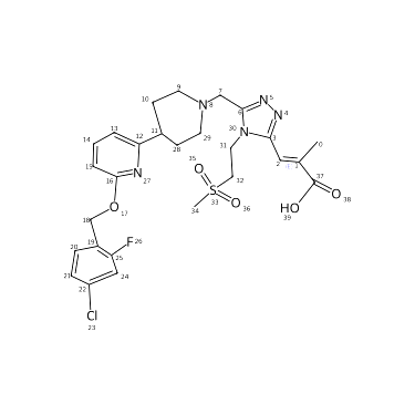 C/C(=C\c1nnc(CN2CCC(c3cccc(OCc4ccc(Cl)cc4F)n3)CC2)n1CCS(C)(=O)=O)C(=O)O